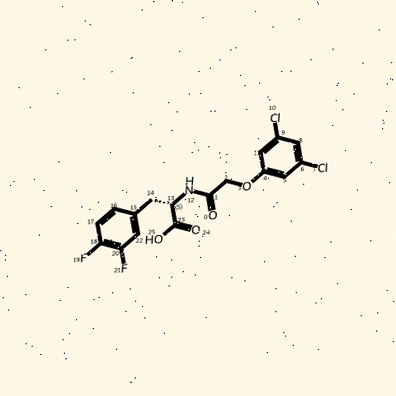 O=C(COc1cc(Cl)cc(Cl)c1)N[C@@H](Cc1ccc(F)c(F)c1)C(=O)O